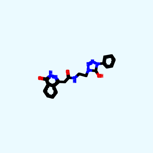 O=C(Cc1n[nH]c(=O)c2ccccc12)NCCN1N=NN(c2ccccc2)C1O